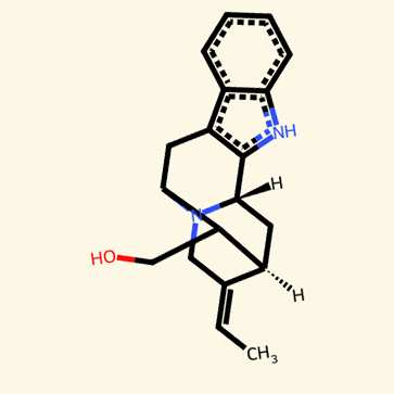 C/C=C1/CN2C3Cc4c([nH]c5ccccc45)[C@@H]2C[C@@H]1C3CO